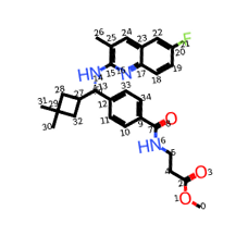 COC(=O)CCNC(=O)c1ccc([C@@H](Nc2nc3ccc(F)cc3cc2C)C2CC(C)(C)C2)cc1